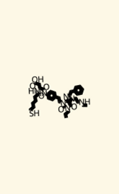 CCCn1c(=O)c2c(nc(Cc3ccccc3)n2CCNCC)n(CCc2ccc(NC(=O)C(CC(=O)O)NC(=O)CCCCCS)cc2)c1=O